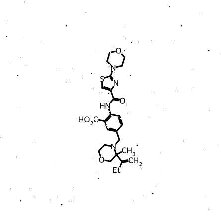 C=C(CC)C1(C)COCCN1Cc1ccc(NC(=O)c2csc(N3CCOCC3)n2)c(C(=O)O)c1